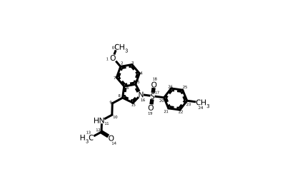 COc1ccc2c(c1)c(CCNC(C)=O)cn2S(=O)(=O)c1ccc(C)cc1